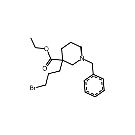 CCOC(=O)C1(CCCBr)CCCN(Cc2ccccc2)C1